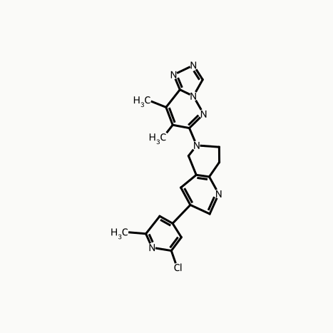 Cc1cc(-c2cnc3c(c2)CN(c2nn4cnnc4c(C)c2C)CC3)cc(Cl)n1